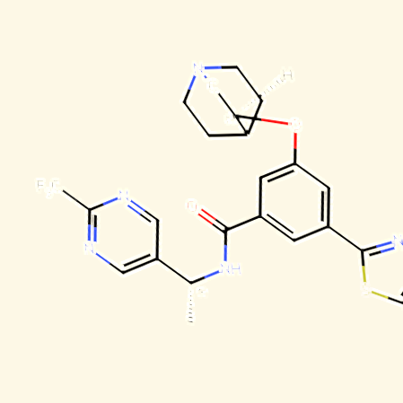 CCc1cnc(-c2cc(O[C@@H]3CN4CCC3CC4)cc(C(=O)N[C@H](C)c3cnc(C(F)(F)F)nc3)c2)s1